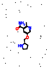 Cc1ncc(OC[C@H]2CCCN2)cc1C(N)=O